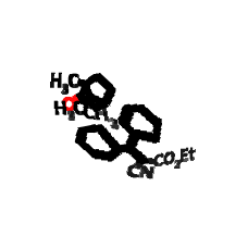 CC12CCC(CC1=O)C2(C)C.CCOC(=O)C(C#N)=C(c1ccccc1)c1ccccc1